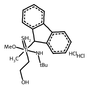 C[O][Ti]([CH3])(=[SiH2])([CH2]CO)([NH]C(C)(C)C)[CH]1c2ccccc2-c2ccccc21.Cl.Cl